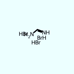 Br.Br.Br.N=CN